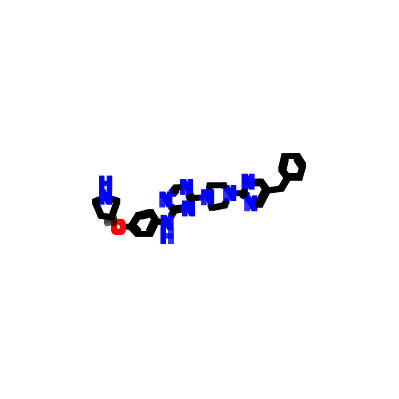 c1ccc(Cc2cnc(N3CCN(c4ncnc(Nc5ccc(O[C@H]6CCNC6)cc5)n4)CC3)nc2)cc1